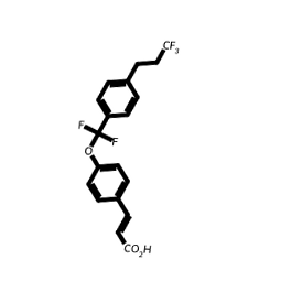 O=C(O)C=Cc1ccc(OC(F)(F)c2ccc(CCC(F)(F)F)cc2)cc1